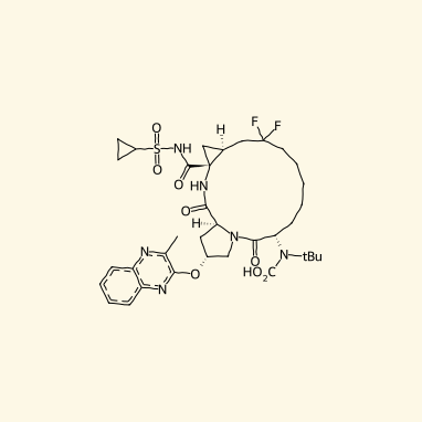 Cc1nc2ccccc2nc1O[C@@H]1C[C@H]2C(=O)N[C@]3(C(=O)NS(=O)(=O)C4CC4)C[C@H]3CC(F)(F)CCCCC[C@H](N(C(=O)O)C(C)(C)C)C(=O)N2C1